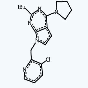 CC(C)(C)c1nc(N2CCCC2)c2ccn(Cc3ncccc3Cl)c2n1